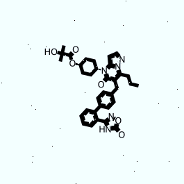 CCCc1c(Cc2ccc(-c3ccccc3-c3noc(=O)[nH]3)cc2)c(=O)n([C@H]2CC[C@H](OC(=O)C(C)(C)O)CC2)c2ccnn12